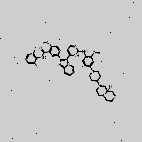 COc1cc(N2CCC(N3CCN4CCOC[C@@H]4C3)CC2)ccc1NC1N=CC=C(c2c(-c3ccc(OC)c(C(=O)Nc4c(F)cccc4F)c3)nc3ccccn23)N1